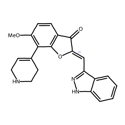 COc1ccc2c(c1C1=CCNCC1)O/C(=C\c1n[nH]c3ccccc13)C2=O